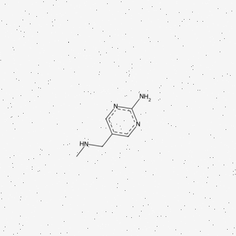 CNCc1cnc(N)nc1